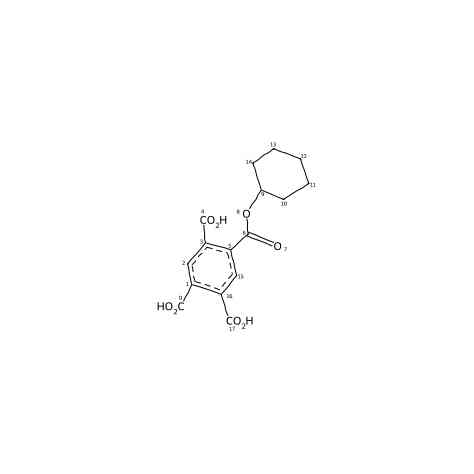 O=C(O)c1cc(C(=O)O)c(C(=O)OC2CCCCC2)cc1C(=O)O